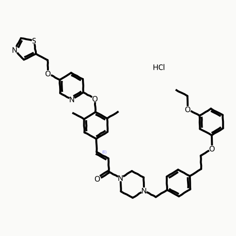 CCOc1cccc(OCCc2ccc(CN3CCN(C(=O)/C=C/c4cc(C)c(Oc5ccc(OCc6cncs6)cn5)c(C)c4)CC3)cc2)c1.Cl